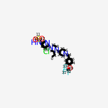 CCC1CN(c2ncc(NS(C)(=O)=O)cc2Cl)CCN1C1CCN(Cc2ccc(OC(F)(F)F)cc2)CC1